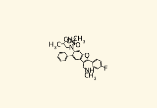 CNCc1c(-c2ccc(F)cc2)oc2cc(N(CC(C)C)S(C)(=O)=O)c(-c3ccccc3)cc12